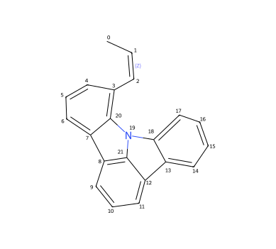 C/C=C\c1cccc2c3cccc4c5ccccc5n(c12)c43